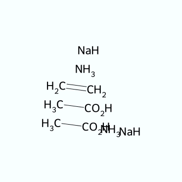 C=C.CC(=O)O.CC(=O)O.N.N.[NaH].[NaH]